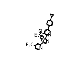 CCS(=O)(=O)c1cc(-c2ccc(C3CC3)cc2)cnc1-c1ncc(-c2cc(C(F)(F)F)ccn2)n1C